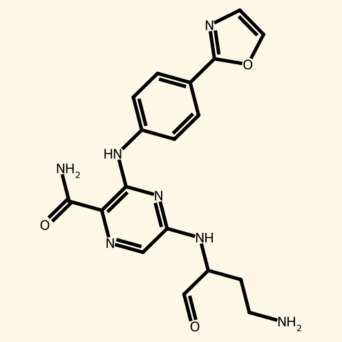 NCCC(C=O)Nc1cnc(C(N)=O)c(Nc2ccc(-c3ncco3)cc2)n1